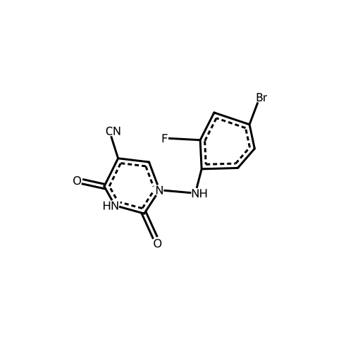 N#Cc1cn(Nc2ccc(Br)cc2F)c(=O)[nH]c1=O